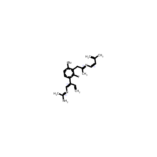 C=C/C(=C\N=C(/C)N)c1ccc(C(C)(C)C)c(C/C(C)=N/C=C\C(=C)C)c1F